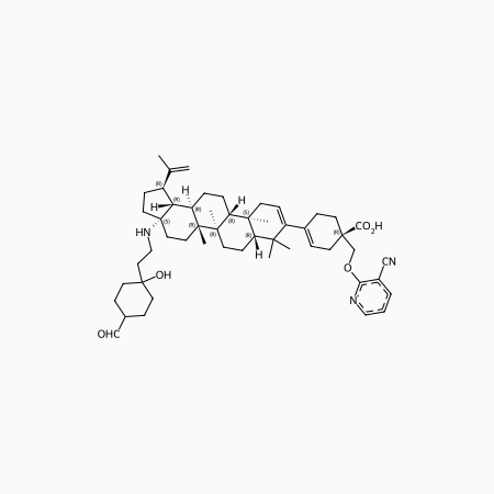 C=C(C)[C@@H]1CC[C@]2(NCCC3(O)CCC(C=O)CC3)CC[C@]3(C)[C@H](CC[C@@H]4[C@@]5(C)CC=C(C6=CC[C@](COc7ncccc7C#N)(C(=O)O)CC6)C(C)(C)[C@@H]5CC[C@]43C)[C@@H]12